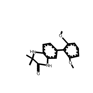 COc1cccc(OC)c1-c1ccc2c(c1)NC(=O)C(C)(C)N2